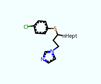 CCCCCCCC(CCn1ccnc1)Sc1ccc(Cl)cc1